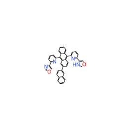 C1=C(c2cccc(-c3c4ccccc4c(-c4cccc(-c5cocn5)n4)c4cc(-c5ccc6ccccc6c5)ccc34)n2)NCO1